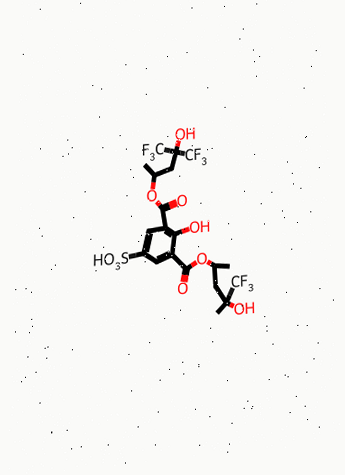 CC(CC(C)(O)C(F)(F)F)OC(=O)c1cc(S(=O)(=O)O)cc(C(=O)OC(C)CC(O)(C(F)(F)F)C(F)(F)F)c1O